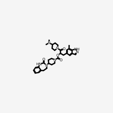 Cc1cc(CC(OC(=O)N2CCC(N3CCc4ccccc4NC3=O)CC2)C(=O)N2CCC(N(C)C)CC2)cc2cn[nH]c12